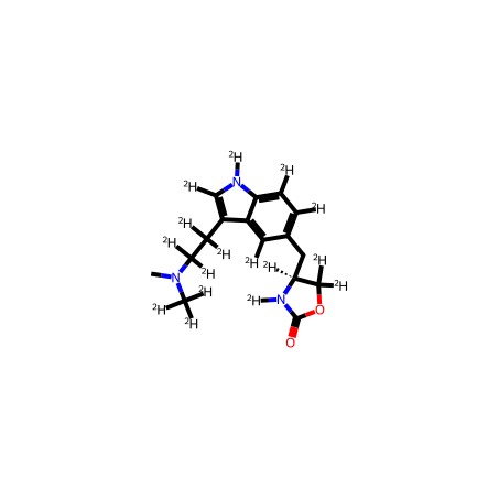 [2H]c1c(C[C@]2([2H])N([2H])C(=O)OC2([2H])[2H])c([2H])c2c(C([2H])([2H])C([2H])([2H])N(C)C([2H])([2H])[2H])c([2H])n([2H])c2c1[2H]